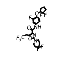 O=C(Nc1ccc(OC2CCCC2(F)F)c(F)c1)c1nc(N2CCC(F)(F)CC2)oc1CC(F)(F)F